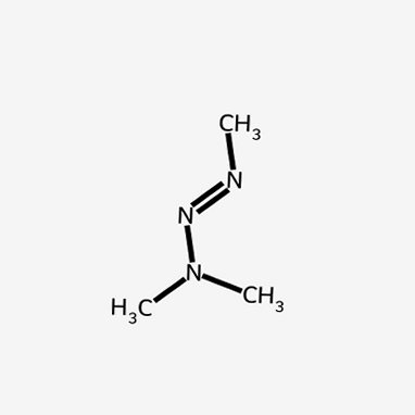 CN=NN(C)C